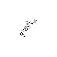 CC(C)Cc1cccc2oc(Cn3cccc(NC(=O)C(CCC=CC(=O)N(C)C)NC(=O)O)c3=O)nc12